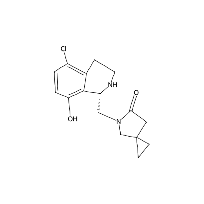 O=C1CC2(CC2)CN1C[C@H]1NCCc2c(Cl)ccc(O)c21